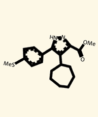 COC(=O)c1n[nH]c(-c2ccc(SC)cc2)c1C1CCCCCC1